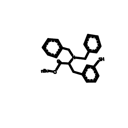 CCCCOC(=O)C(Cc1cccc(S)c1)N(Cc1ccccc1)Cc1ccccc1